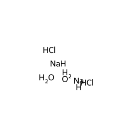 Cl.Cl.O.O.[NaH].[NaH]